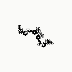 COCn1nnc(C2CCCN(C(=O)/C=C/c3ccc(Sc4ccc(/C=C/C(=O)N5CCCC(c6nnn(COC)n6)C5)cc4[N+](=O)[O-])c([N+](=O)[O-])c3)C2)n1